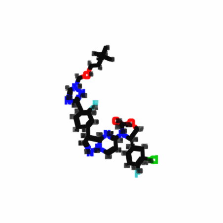 C[Si](C)(C)CCOCn1cnc(-c2ccc(-c3cnn4ccc(N5C(=O)OC[C@@H]5c5ccc(F)c(Cl)c5)nc34)cc2F)n1